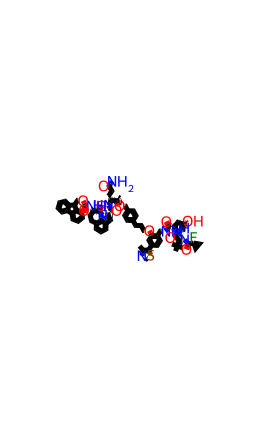 Cc1ncsc1-c1ccc(CNC(=O)[C@@H]2C[C@@H](O)CN2C(=O)[C@@H](NC(=O)C2(F)CC2)C(C)(C)C)c(OCCCc2ccc(CO[C@H](C)[C@H](CCC(N)=O)NC(=O)[C@@H]3Cc4cccc5c4N3C(=O)[C@@H](NC(=O)OCC3c4ccccc4-c4ccccc43)CC5)cc2)c1